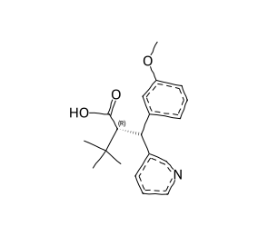 COc1cccc(C(c2cccnc2)[C@@H](C(=O)O)C(C)(C)C)c1